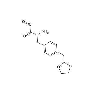 NC(Cc1ccc(CC2OCCO2)cc1)C(=O)N=O